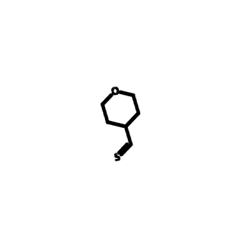 S=CC1CCOCC1